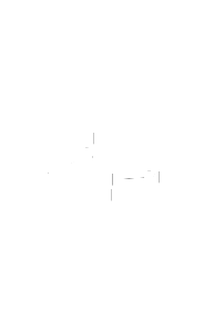 BPBC